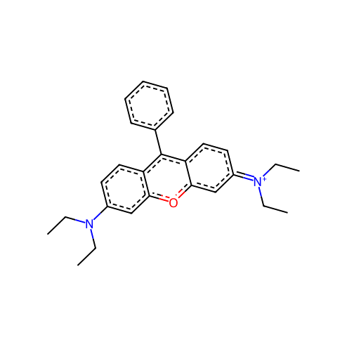 CCN(CC)c1ccc2c(-c3ccccc3)c3ccc(=[N+](CC)CC)cc-3oc2c1